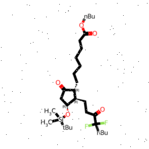 CCCCOC(=O)CCCCCC[C@H]1C(=O)C[C@@H](O[Si](C)(C)C(C)(C)C)[C@@H]1CCC(=O)C(F)(F)CCCC